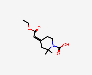 CCOC(=O)C=C1CCN(C(=O)O)C(C)(C)C1